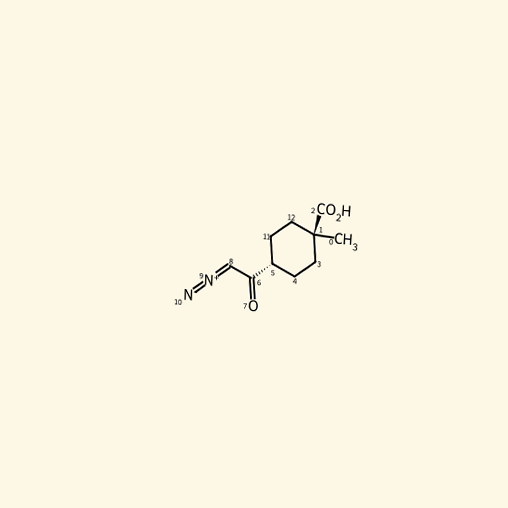 C[C@]1(C(=O)O)CC[C@H](C(=O)C=[N+]=[N-])CC1